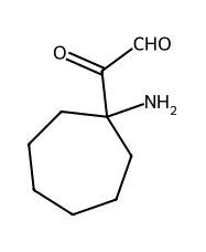 NC1(C(=O)C=O)CCCCCC1